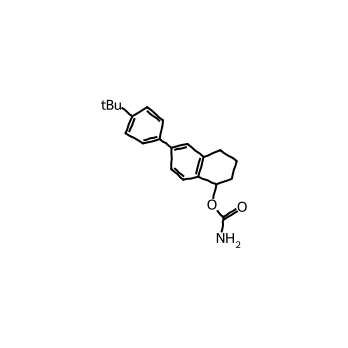 CC(C)(C)c1ccc(-c2ccc3c(c2)CCCC3OC(N)=O)cc1